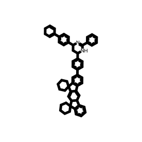 C1=CC(c2ccc(C3CC(c4ccc(-c5ccc6c(c5)C5(CCCCC5)C5=CC7C(C=C56)c5ccccc5C75CCCCC5)cc4)NC(c4ccccc4)=N3)cc2)=CCC1